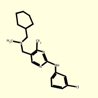 CN(Cc1cnc(Nc2cccc(Cl)c2)nc1C(F)(F)F)CC1CCCCC1